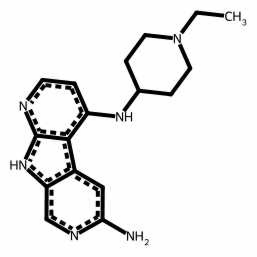 CCN1CCC(Nc2ccnc3[nH]c4cnc(N)cc4c23)CC1